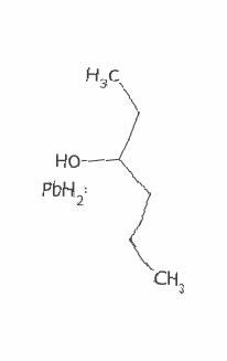 CCCC(O)CC.[PbH2]